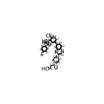 O=C(CCO)N1CCN(c2cnc3ccc(-c4cnc(Cl)c(NS(=O)(=O)c5ccc(F)cc5)c4)cc3n2)CC1